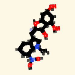 Cn1cc(/C=C2/Oc3cc(O)cc(O)c3C2=O)c2cccc([N+](=O)[O-])c21